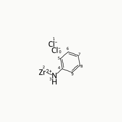 [Cl-].[Cl-].[Zr+2][NH]c1ccccc1